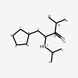 CC(C)NC(CC1CCCC1)C(=O)C(C)C